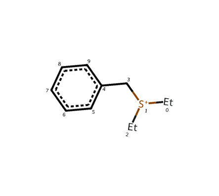 CC[S+](CC)Cc1ccccc1